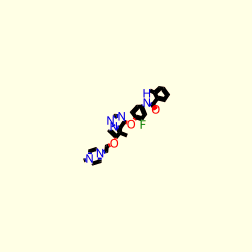 Cc1ccccc1C(=O)Nc1ccc(Oc2ncnn3cc(OCCN4CCN(C)CC4)c(C)c23)c(F)c1